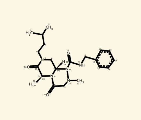 CC(C)CCN1C[C@H]2N(C(=O)CN(C)N2C(=O)NCc2ccccc2)[C@@H](C)C1=O